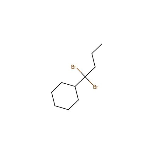 CCCC(Br)(Br)C1CCCCC1